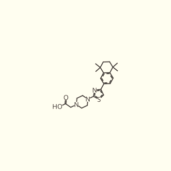 CC1(C)CCC(C)(C)c2cc(-c3csc(N4CCN(CC(=O)O)CC4)n3)ccc21